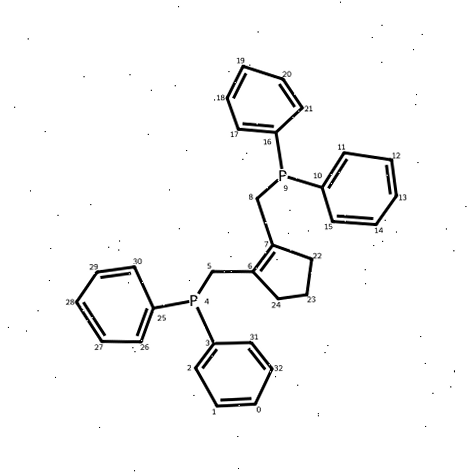 c1ccc(P(CC2=C(CP(c3ccccc3)c3ccccc3)CCC2)c2ccccc2)cc1